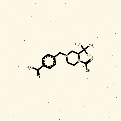 CC(=O)c1ccc(CN2CCN(C(=O)O)C(C(C)(C)C)C2)cc1